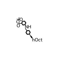 CCCCCCCCC#Cc1ccc(CNc2ccc3c(c2)C(=O)OC(C)(C)O3)cc1